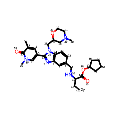 Cc1cc(-c2nc3cc(CNC(CC(C)C)C(=O)OC4CCCC4)ccc3n2CC2CN(C)CCO2)cn(C)c1=O